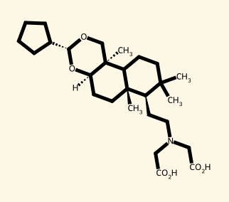 CC1(C)CCC2[C@]3(C)CO[C@@H](C4CCCC4)O[C@@H]3CC[C@@]2(C)[C@@H]1CCN(CC(=O)O)CC(=O)O